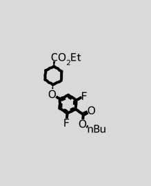 CCCCOC(=O)c1c(F)cc(O[C@H]2CC[C@H](C(=O)OCC)CC2)cc1F